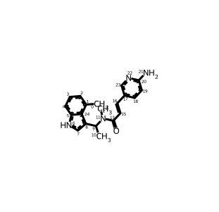 Cc1cccc2[nH]cc(C(C)N(C)C(=O)/C=C/c3ccc(N)nc3)c12